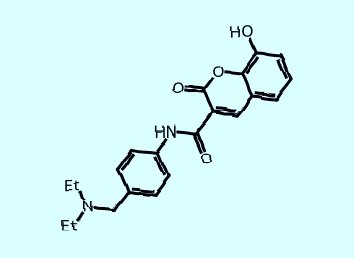 CCN(CC)Cc1ccc(NC(=O)c2cc3cccc(O)c3oc2=O)cc1